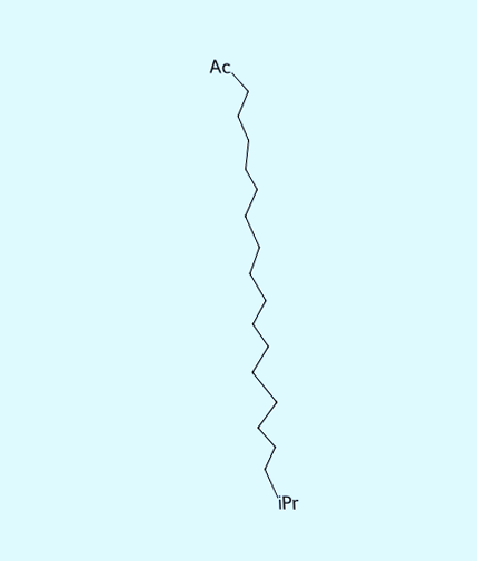 CC(=O)CCCCCCCCCCCCCCCCC(C)C